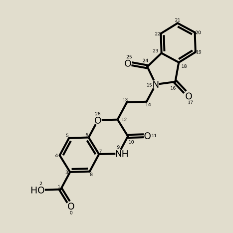 O=C(O)c1ccc2c(c1)NC(=O)C(CCN1C(=O)c3ccccc3C1=O)O2